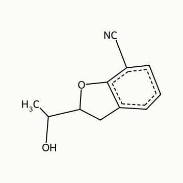 CC(O)C1Cc2cccc(C#N)c2O1